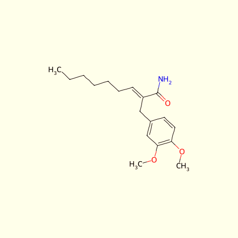 CCCCCC/C=C(\Cc1ccc(OC)c(OC)c1)C(N)=O